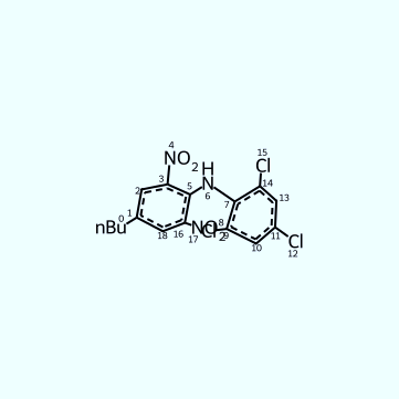 CCCCc1cc([N+](=O)[O-])c(Nc2c(Cl)cc(Cl)cc2Cl)c([N+](=O)[O-])c1